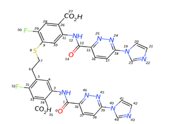 O=C(Nc1cc(CCSc2cc(NC(=O)c3ccc(-n4ccnc4)nn3)c(C(=O)O)cc2F)c(F)cc1C(=O)O)c1ccc(-n2ccnc2)nn1